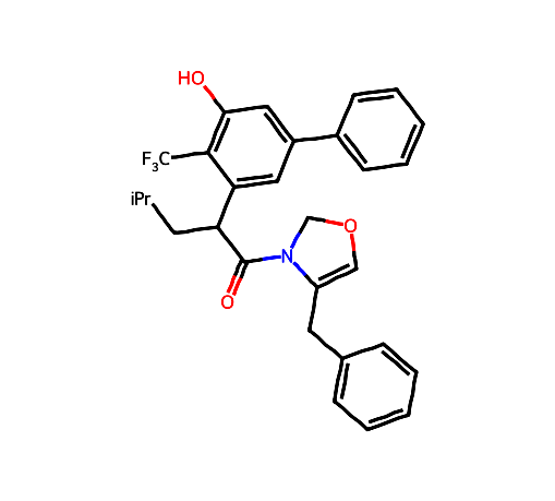 CC(C)CC(C(=O)N1COC=C1Cc1ccccc1)c1cc(-c2ccccc2)cc(O)c1C(F)(F)F